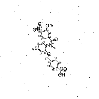 COc1cc(C(=O)N(C)c2ccc(C)cc2OCc2ccc(C(=O)O)cc2)ccc1[N+](=O)[O-]